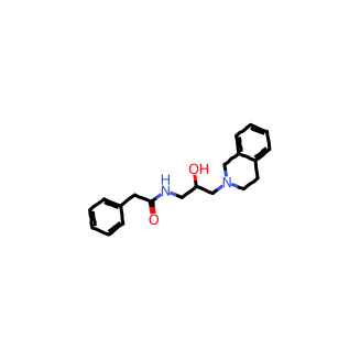 O=C(Cc1ccccc1)NCC(O)CN1CCc2ccccc2C1